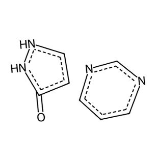 O=c1cc[nH][nH]1.c1cncnc1